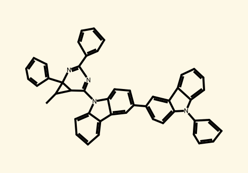 CC1C2C(n3c4ccccc4c4cc(-c5ccc6c(c5)c5ccccc5n6-c5ccccc5)ccc43)=NC(c3ccccc3)=NC12c1ccccc1